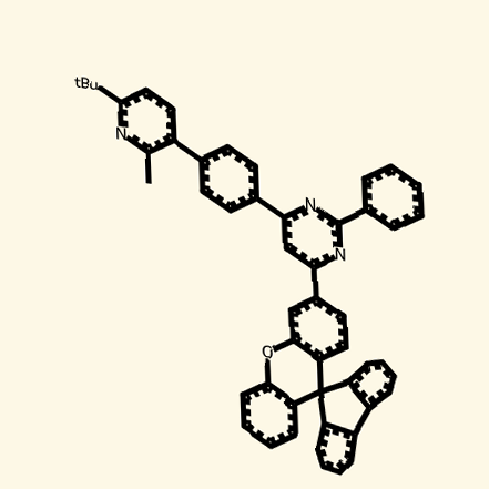 Cc1nc(C(C)(C)C)ccc1-c1ccc(-c2cc(-c3ccc4c(c3)Oc3ccccc3C43c4ccccc4-c4ccccc43)nc(-c3ccccc3)n2)cc1